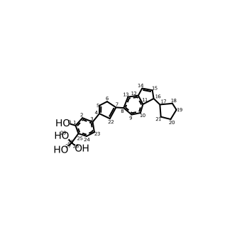 Oc1cc(C2=CCC(c3ccc4c(c3)C=CC4C3CCCC3)=C2)ccc1C(O)(O)O